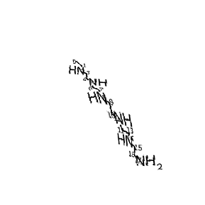 CCNCCNCCNCCNCCNCCN